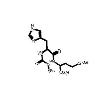 CSCCC(NC(=O)C(Cc1c[nH]cn1)NC(=O)OC(C)(C)C)C(=O)O